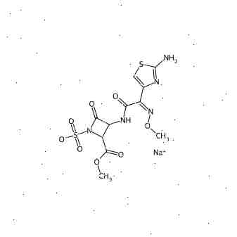 CON=C(C(=O)NC1C(=O)N(S(=O)(=O)[O-])C1C(=O)OC)c1csc(N)n1.[Na+]